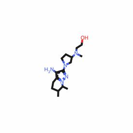 CC1CCc2c(N)c(N3CCC(N(C)CCO)C3)nn2C1C